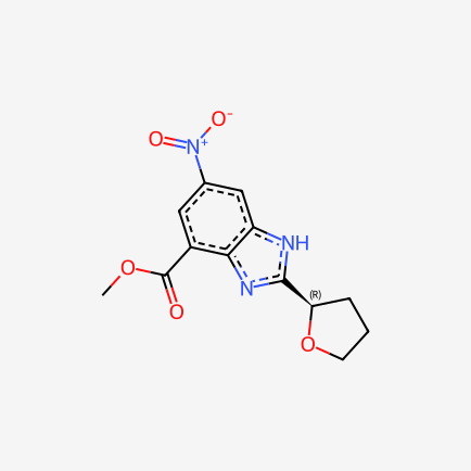 COC(=O)c1cc([N+](=O)[O-])cc2[nH]c([C@H]3CCCO3)nc12